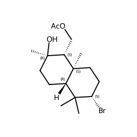 CC(=O)OC[C@@H]1[C@@]2(C)CC[C@H](Br)C(C)(C)[C@@H]2CC[C@@]1(C)O